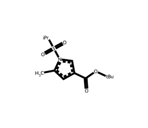 Cc1cc(C(=O)OC(C)(C)C)cn1S(=O)(=O)C(C)C